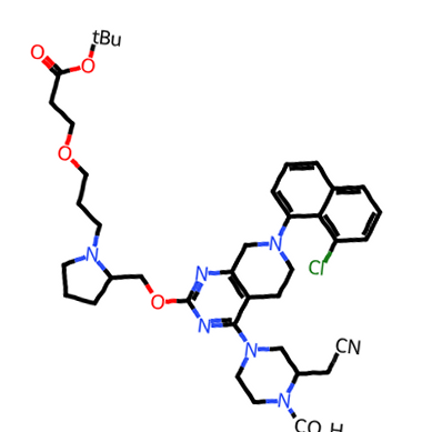 CC(C)(C)OC(=O)CCOCCCN1CCCC1COc1nc2c(c(N3CCN(C(=O)O)C(CC#N)C3)n1)CCN(c1cccc3cccc(Cl)c13)C2